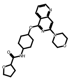 O=C(NC1CCC(Oc2nc(N3CCOCC3)cc3ncccc23)CC1)C1CCCO1